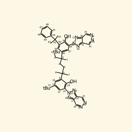 CC(C)(C)CC(C)(CCC(C)(C)c1cc(C(C)(C)C)cc(-n2nc3cnncc3n2)c1O)c1cc(-n2nc3cnncc3n2)c(O)c(C(C)(C)c2ccccc2)c1